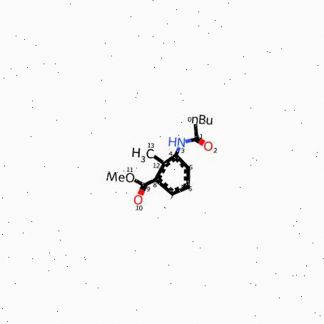 CCCCC(=O)Nc1cccc(C(=O)OC)c1C